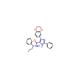 CCCC(NC(=O)c1c(-c2ccc3c(c2)OCCO3)nc(-c2ccccc2)n1C)c1ccccc1